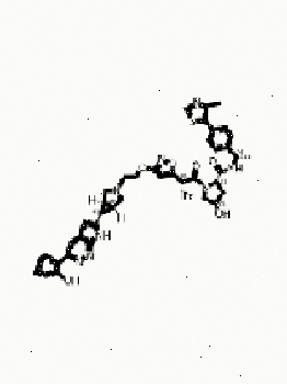 Cc1ncsc1-c1ccc([C@H](C)NC(=O)[C@@H]2C[C@@H](O)CN2C(=O)[C@@H](c2cc(OCCN3C[C@@H]4[C@H](C3)[C@H]4c3cc4cc(-c5ccccc5O)nnc4[nH]3)no2)C(C)C)cc1